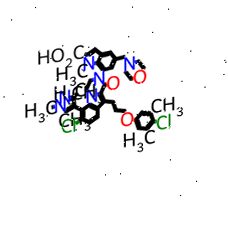 Cc1cc(OCCCc2c3n(c4c(-c5c(C)nn(C)c5C)c(Cl)ccc24)[C@H](C)CN(c2cc(CN4CCOCC4)cc4cc(C(=O)O)n(C)c24)C3=O)cc(C)c1Cl